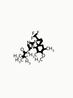 COC1=C(C)CC23C=CC=C(C(F)(F)F)N2c2ncc(SC(=O)C(C)(C)C)n2C3=C1C